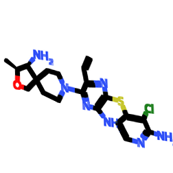 C=Cc1nc(Sc2ccnc(N)c2Cl)c(N)nc1N1CCC2(CC1)CO[C@@H](C)[C@H]2N